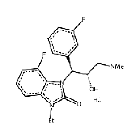 CCn1c(=O)n([C@@H](c2cccc(F)c2)[C@@H](O)CNC)c2c(F)cccc21.Cl